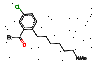 CCC(=O)c1cc(Cl)ccc1CCCCCCNC